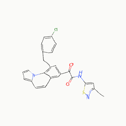 Cc1cc(NC(=O)C(=O)c2cc(Cc3ccc(Cl)cc3)c3c(ccc4cccn43)c2)sn1